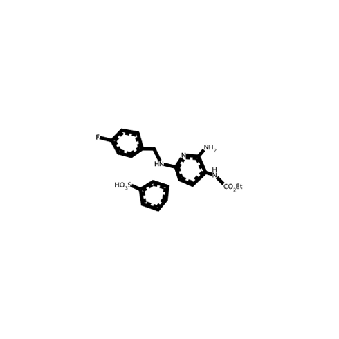 CCOC(=O)Nc1ccc(NCc2ccc(F)cc2)nc1N.O=S(=O)(O)c1ccccc1